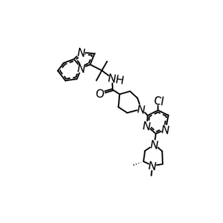 C[C@@H]1CN(c2ncc(Cl)c(N3CCC(C(=O)NC(C)(C)c4cnc5ccccn45)CC3)n2)CCN1C